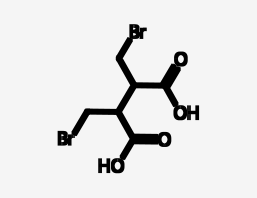 O=C(O)C(CBr)C(CBr)C(=O)O